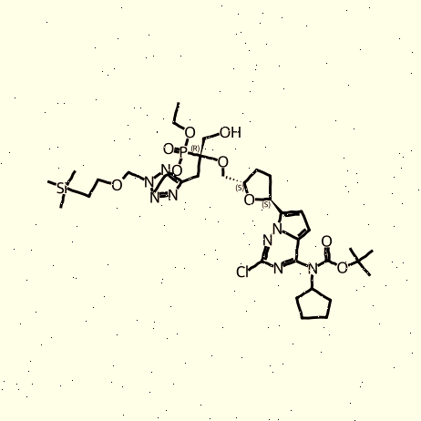 CCOP(=O)(OCC)[C@@](CO)(Cc1nnn(COCC[Si](C)(C)C)n1)OC[C@@H]1CC[C@@H](c2ccc3c(N(C(=O)OC(C)(C)C)C4CCCC4)nc(Cl)nn23)O1